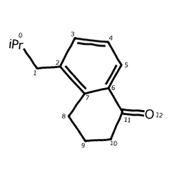 CC(C)Cc1cccc2c1CCCC2=O